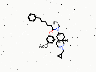 CC(=O)Oc1cccc([C@@]23CCN(CC4CC4)C[C@H]2CC[C@@H](N(CC(C)C)C(=O)CCCCCc2ccccc2)C3)c1